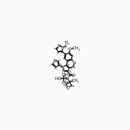 COc1cc2c(cc1-c1ccnn1C)-c1c(c(C(=O)N(C(O)(O)O)C3(C)COC3)nn1-c1ccsc1)CO2